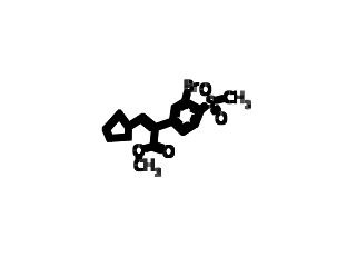 COC(=O)C(=CC1CCCC1)c1ccc(S(C)(=O)=O)c(Br)c1